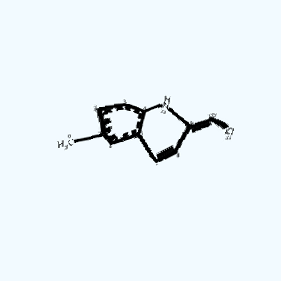 Cc1ccc2c(c1)C=CC(=CCl)N2